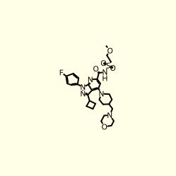 COCCS(=O)(=O)NC(=O)c1cc(N2CCC(CN3CCOCC3)CC2)c2c(C3CCC3)nn(-c3ccc(F)cc3)c2n1